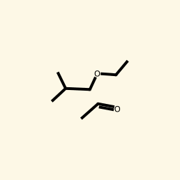 CC=O.CCOCC(C)C